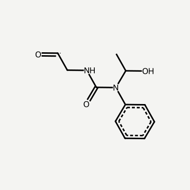 CC(O)N(C(=O)NC[C]=O)c1ccccc1